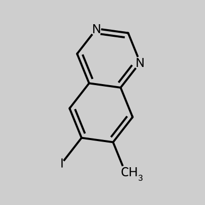 Cc1cc2ncncc2cc1I